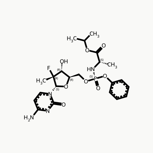 CC(C)OC(=O)[C@H](C)N[P@](=O)(OC[C@H]1O[C@H](n2ccc(N)nc2=O)[C@](C)(F)[C@@H]1O)Oc1ccccc1